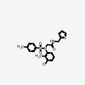 Cc1ccc(S(=O)(=O)N(CC(=O)NCc2cccs2)c2cccc(Cl)c2C)cc1